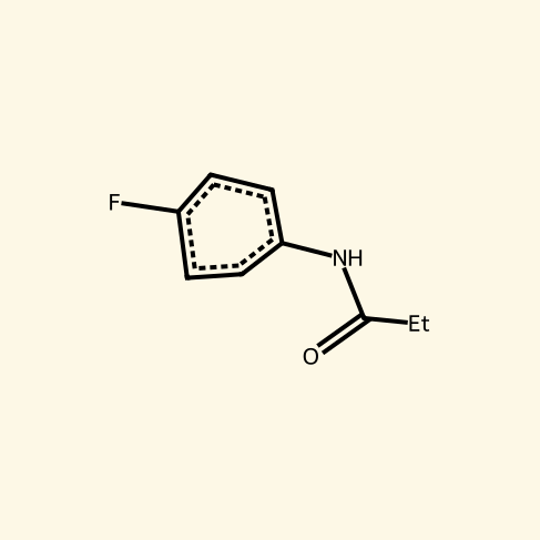 CCC(=O)Nc1ccc(F)cc1